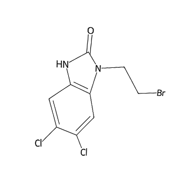 O=c1[nH]c2cc(Cl)c(Cl)cc2n1CCBr